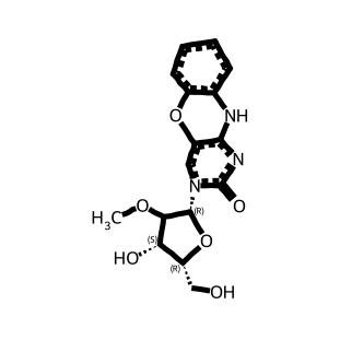 COC1[C@@H](O)[C@@H](CO)O[C@H]1n1cc2c(nc1=O)Nc1ccccc1O2